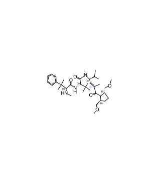 CN[C@H](C(=O)N[C@H](C(=O)N(C)[C@H](/C=C(\C)C(=O)C1[C@H](COC)CC[C@H]1COC)C(C)C)C(C)(C)C)C(C)(C)c1ccccc1